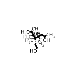 CC(O)CC(C)(C)C(C)(OCCO)C(C)(C)C(C)C